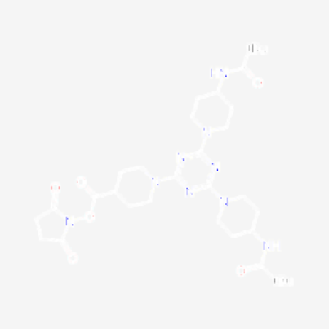 CC(C)(C)C(=O)NC1CCN(c2nc(N3CCC(NC(=O)C(C)(C)C)CC3)nc(N3CCC(C(=O)ON4C(=O)CCC4=O)CC3)n2)CC1